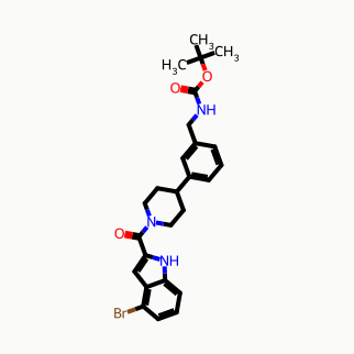 CC(C)(C)OC(=O)NCc1cccc(C2CCN(C(=O)c3cc4c(Br)cccc4[nH]3)CC2)c1